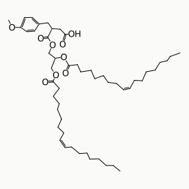 CCCCCCCC/C=C\CCCCCCCC(=O)OCC(COC(=O)C(CC(=O)O)Cc1ccc(OC)cc1)OC(=O)CCCCCCC/C=C\CCCCCCCC